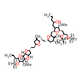 C=CCC(O)CC1[C@H](CC2O[C@@H](CC[C@@H]3O[C@@H](CC[C@@H]4C[C@H]5O[C@@H]6[C@@H](OC(CC=C)C(O[Si](CC)(CC)CC)[C@@H]6OC)[C@H]5O4)CC3=C)C[C@@H](C)C2=C)O[C@H](CC(CO[Si](CC)(CC)CC)O[Si](CC)(CC)CC)[C@@H]1OC